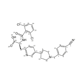 N#Cc1ccc(CN2CC=C(c3ccc(C[C@H](NC(=O)c4c(Cl)cccc4Cl)C(=O)O)nc3)CC2)cc1